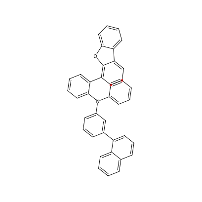 c1ccc(N(c2cccc(-c3cccc4ccccc34)c2)c2ccccc2-c2cccc3c2oc2ccccc23)cc1